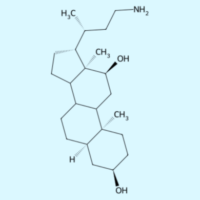 C[C@H](CCN)[C@H]1CCC2C3CC[C@@H]4C[C@H](O)CC[C@]4(C)C3C[C@H](O)[C@@]21C